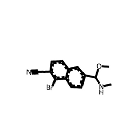 CNC(OC)c1ccc2c(Br)c(C#N)ccc2c1